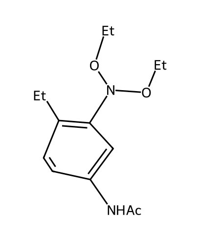 CCON(OCC)c1cc(NC(C)=O)ccc1CC